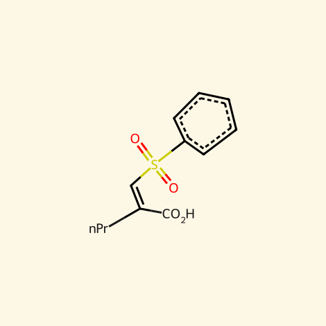 CCCC(=CS(=O)(=O)c1ccccc1)C(=O)O